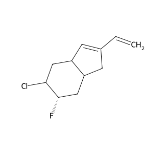 C=CC1=CC2CC(Cl)[C@@H](F)CC2C1